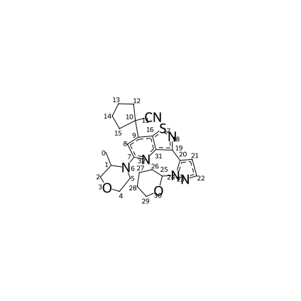 CC1COCCN1c1cc(C2(C#N)CCCC2)c2snc(-c3ccnn3C3CCCCO3)c2n1